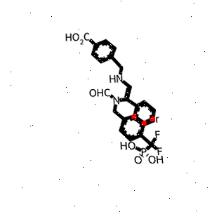 O=CN(Cc1ccc(C(F)(F)P(=O)(O)O)c(Br)c1)/C(=C\NCc1ccc(C(=O)O)cc1)c1ccccc1